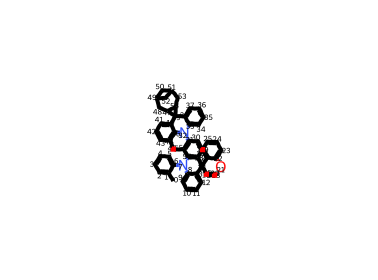 Cc1ccccc1N1c2ccccc2C2(c3ccccc3Oc3ccccc32)c2ccc(N3c4ccccc4C4(c5cccc(C)c53)C3CC5CC(C5)CC34)c(C)c21